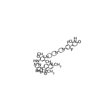 COc1cc(N2CCC3(CC2)CCN(C2CCN(c4cc(F)c([C@H]5CCC(=O)NC5=O)c(F)c4)CC2)CC3)c(C)cc1Nc1ncc(Br)c(Nc2ccc3nc(C)ccc3c2P(C)(C)=O)n1